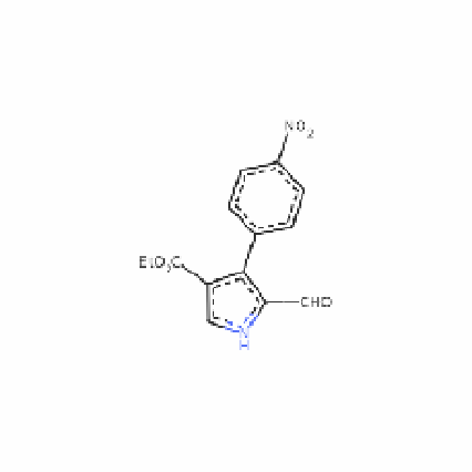 CCOC(=O)c1c[nH]c(C=O)c1-c1ccc([N+](=O)[O-])cc1